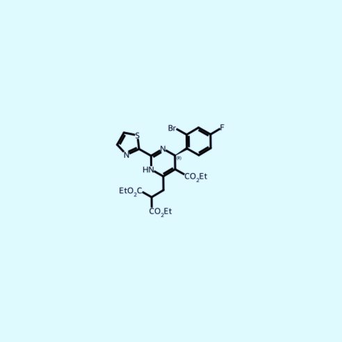 CCOC(=O)C1=C(CC(C(=O)OCC)C(=O)OCC)NC(c2nccs2)=N[C@H]1c1ccc(F)cc1Br